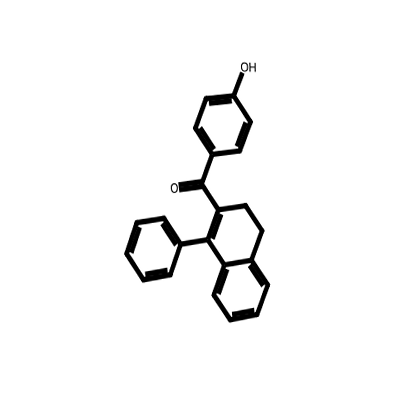 O=C(C1=C(c2ccccc2)c2ccccc2CC1)c1ccc(O)cc1